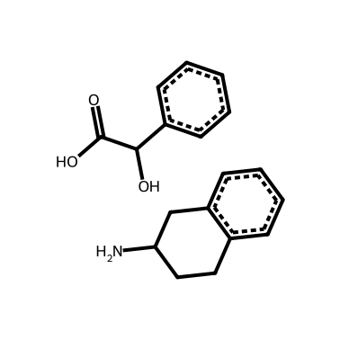 NC1CCc2ccccc2C1.O=C(O)C(O)c1ccccc1